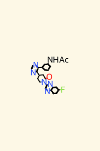 CC(=O)Nc1cccc(-c2nccnc2C2CCN(c3cnc4ccc(F)cc4n3)C(=O)C2)c1